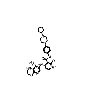 Cc1c(Nc2cc[nH]c(=O)c2C(=O)Nc2ccc(N3CCN(C4CCCC4)CC3)cc2)cnc2c1NCCO2